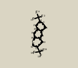 FC(F)(F)c1ccc2cc3cc(C(F)(F)F)ccc3cc2c1